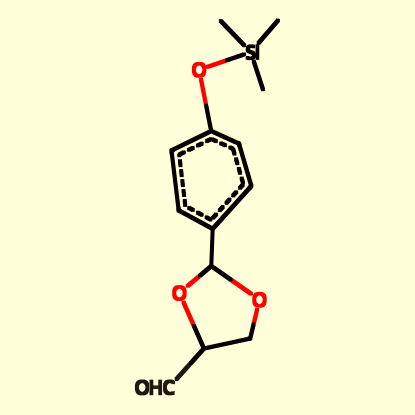 C[Si](C)(C)Oc1ccc(C2OCC(C=O)O2)cc1